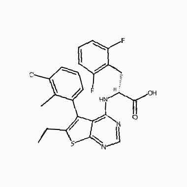 CCc1sc2ncnc(N[C@H](Cc3c(F)cccc3F)C(=O)O)c2c1-c1cccc(Cl)c1C